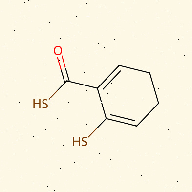 O=C(S)C1=CCCC=C1S